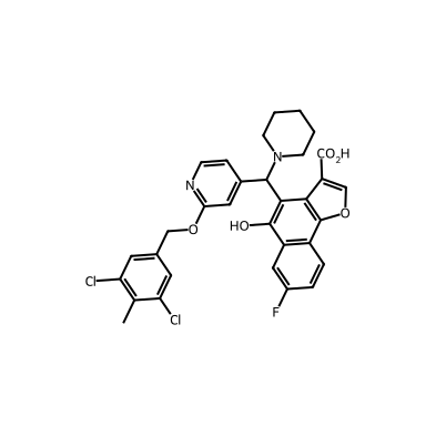 Cc1c(Cl)cc(COc2cc(C(c3c(O)c4cc(F)ccc4c4occ(C(=O)O)c34)N3CCCCC3)ccn2)cc1Cl